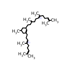 C=C(CC/C=C(\C)CCC=C(C)C)CCC1C=C(CC/C=C(\C)CCC=C(C)C)CC(C)C1